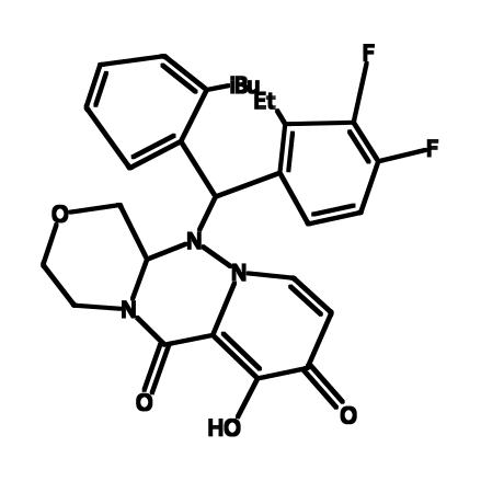 CCc1c(C(c2ccccc2C(C)CC)N2C3COCCN3C(=O)c3c(O)c(=O)ccn32)ccc(F)c1F